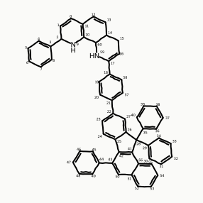 C1=CC(c2ccccc2)NC2=C1C=CC1CC=C(c3ccc(-c4ccc5c(c4)C(c4ccccc4)(c4ccccc4)c4c-5c(-c5ccccc5)cc5ccccc45)cc3)NC21